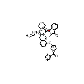 CCNC(=O)[C@H]1CCCC[C@H]1C(=O)N1CCc2cccc(O[C@H]3CCN(C(=O)c4cncs4)C3)c2[C@H]1CN1C(=O)c2ccccc2C1=O